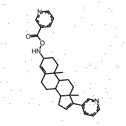 CC12CCC(NOC(=O)c3cccnc3)C=C1CCC1C2CCC2(C)C(c3cccnc3)=CCC12